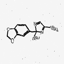 CC(C)(C)C1=NC(c2ccc3c(c2)OCO3)(C(C)(C)C)N=C1